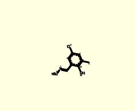 CCCCN=Cc1cc(Cl)cc(C)c1O